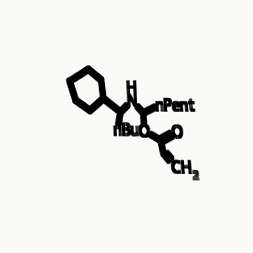 C=CC(=O)OC(CCCCC)NC(CCCC)C1CCCCC1